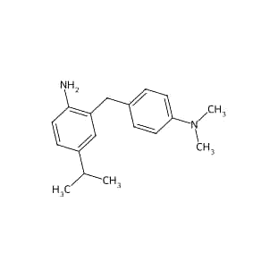 CC(C)c1ccc(N)c(Cc2ccc(N(C)C)cc2)c1